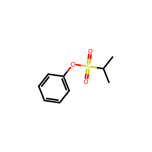 CC(C)S(=O)(=O)Oc1ccccc1